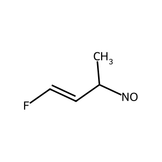 CC(C=CF)N=O